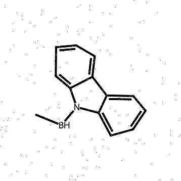 CBn1c2ccccc2c2ccccc21